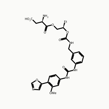 CC[C@H](COC(=O)[C@H](N)CC(=O)O)OC(=O)NCc1cccc(NC(=O)Nc2ccc(-c3cnco3)c(OC)c2)c1